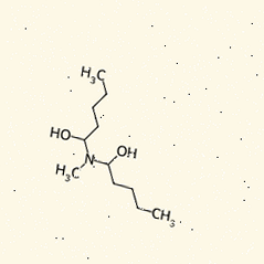 CCCCC(O)N(C)C(O)CCCC